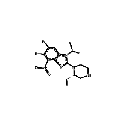 CC[C@H]1CNCCN1c1nc2c([N+](=O)[O-])c(Br)c(Br)cc2n1C(C)C